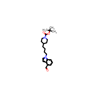 CC(C)(C)OC(=O)N1CCC(CCCCn2ccc3c(C=O)cccc32)CC1